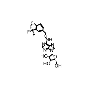 OC[C@H]1O[C@@H](n2cnc3c(NN=Cc4ccc(Cl)c(C(F)(F)F)c4)ncnc32)[C@H](O)[C@@H]1O